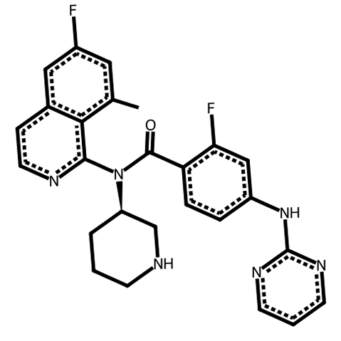 Cc1cc(F)cc2ccnc(N(C(=O)c3ccc(Nc4ncccn4)cc3F)[C@@H]3CCCNC3)c12